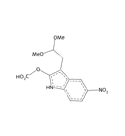 COC(Cc1c(OC(=O)O)[nH]c2ccc([N+](=O)[O-])cc12)OC